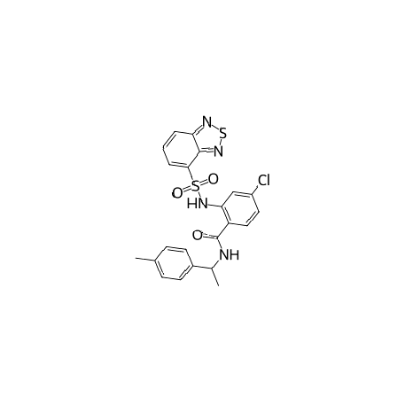 Cc1ccc(C(C)NC(=O)c2ccc(Cl)cc2NS(=O)(=O)c2cccc3nsnc23)cc1